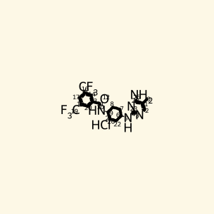 Cc1cnc(N[C@H]2CC[C@@H](NC(=O)c3cc(C(F)(F)F)cc(C(F)(F)F)c3)CC2)nc1N.Cl